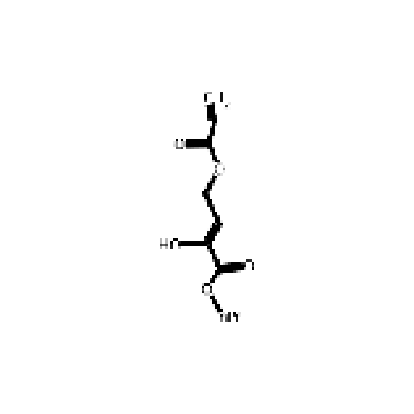 C=CC(=O)OCC=C(O)C(=O)OCCC